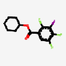 O=C(OC1CCCCC1)c1cc(F)c(F)c(I)c1F